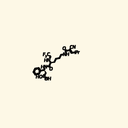 CC(C)C=C(C#N)C(=O)NCCCC[C@H](NCC(F)(F)F)C(=O)N[C@H](CB(O)O)c1ccccc1